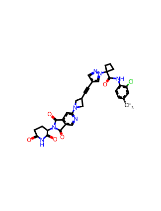 O=C1CCC(N2C(=O)c3cnc(N4CC(C#Cc5cnn(C6(C(=O)Nc7ccc(C(F)(F)F)cc7Cl)CCC6)c5)C4)cc3C2=O)C(=O)N1